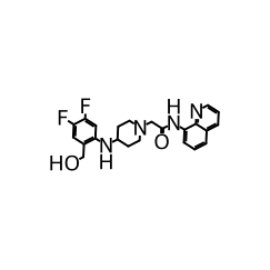 O=C(CN1CCC(Nc2cc(F)c(F)cc2CO)CC1)Nc1cccc2cccnc12